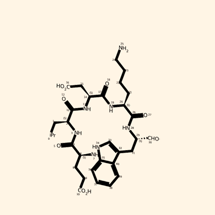 CC(C)C[C@H](NC(=O)[C@@H](N)CCC(=O)O)C(=O)N[C@@H](CC(=O)O)C(=O)N[C@@H](CCCCN)C(=O)N[C@H]([C]=O)Cc1c[nH]c2ccccc12